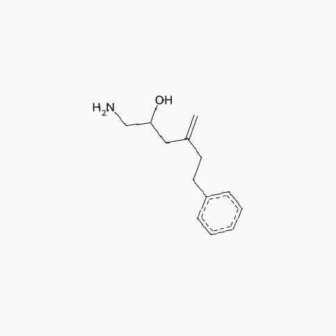 C=C(CCc1ccccc1)CC(O)CN